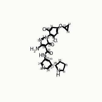 Nc1ncn(-c2c(Cl)cc(OC3CC3)cc2Cl)c(=O)c1C(=O)Nc1cncc([C@@H]2CCCN2)c1